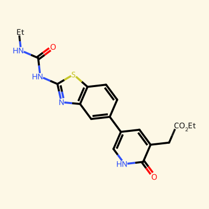 CCNC(=O)Nc1nc2cc(-c3c[nH]c(=O)c(CC(=O)OCC)c3)ccc2s1